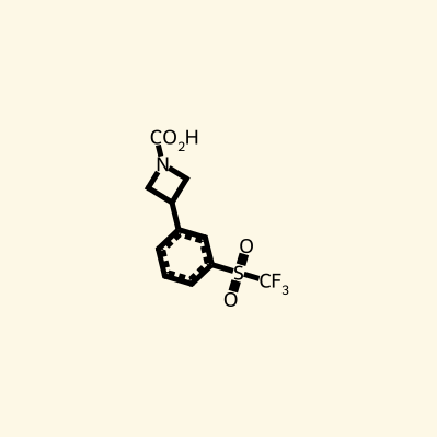 O=C(O)N1CC(c2cccc(S(=O)(=O)C(F)(F)F)c2)C1